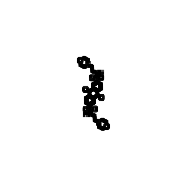 O=C1c2ccc(S(=O)(=O)NCCN3CCOCC3)cc2C(=O)c2ccc(S(=O)(=O)NCCN3CCOCC3)cc21